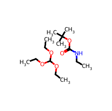 CCNC(=O)OC(C)(C)C.CCOC(OCC)OCC